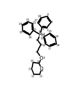 c1ccc([PH](CCCOC2CCCCO2)(c2ccccc2)c2ccccc2)cc1